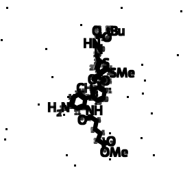 COC(=O)CCCCC(=O)Nc1cc(N)cc(C)c1-c1cccc(S(=O)(=O)c2cc(C=NNC(=O)OC(C)(C)C)sc2SC)c1